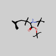 CC(C)CC(C)(C)C(NC(C)(C)C)C(=O)OC(C)(C)C